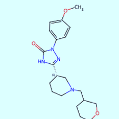 COc1ccc(-n2nc([C@H]3CCCN(CC4CCCOC4)C3)[nH]c2=O)cc1